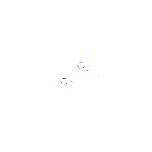 Nc1cc(S(F)(F)(F)(F)F)ccc1C(=O)N1CCC(c2c(F)cnc3[nH]c(C4CCCOC4)nc23)CC1